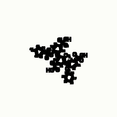 COc1c(-c2cc(S(=O)(=O)O)ccc2Oc2ccccc2)cc(S(=O)(=O)O)cc1-c1cc(S(=O)(=O)O)ccc1OS(=O)(=O)c1ccc(C)cc1